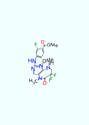 COC(=O)c1cc(OC)c(Nc2ncc3c(n2)N(C(C)C)CC(F)(F)C(=O)N3C)cc1F